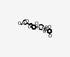 O=CN1CCOC(c2cc3c(Cl)c(N4CCCN(S(=O)(=O)c5cc(Cl)ccc5Cl)CC4)ccc3o2)C1